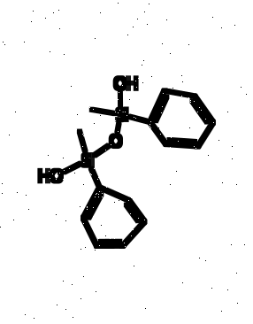 C[Si](O)(O[Si](C)(O)c1ccccc1)c1ccccc1